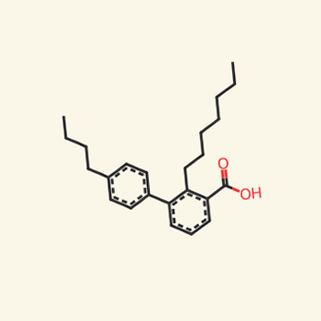 CCCCCCCc1c(C(=O)O)cccc1-c1ccc(CCCC)cc1